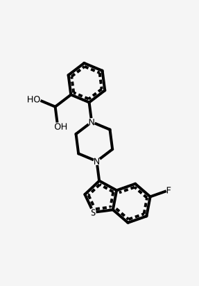 OC(O)c1ccccc1N1CCN(c2csc3ccc(F)cc23)CC1